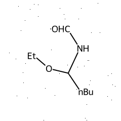 CCCCC(N[C]=O)OCC